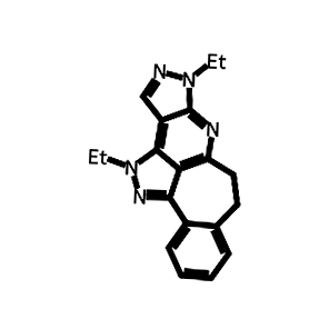 CCn1ncc2c1nc1c3c(nn(CC)c32)-c2ccccc2CC1